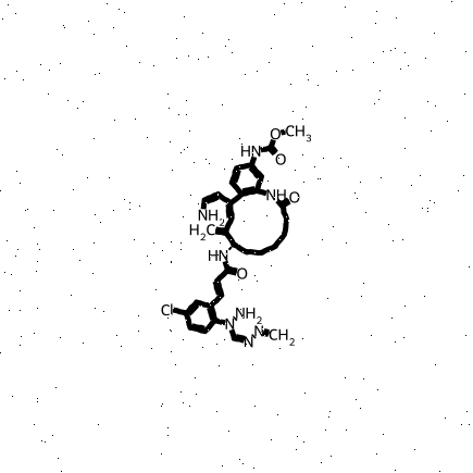 C=N/N=C\N(N)c1ccc(Cl)cc1/C=C/C(=O)N[C@H]1CCCCCC(=O)Nc2cc(NC(=O)OC)ccc2C(/C=C\N)=C/C1=C